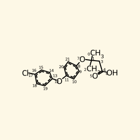 CC(C)(CC(=O)O)Oc1ccc(Oc2ccc(Cl)cc2)cc1